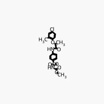 COC(=O)NS(=O)(=O)c1ccc(NC(=O)[C@@H](C)Oc2ccc(Cl)cc2C)cc1